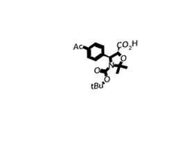 CC(=O)c1ccc([C@H]2[C@H](C(=O)O)OC(C)(C)N2C(=O)OC(C)(C)C)cc1